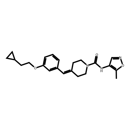 Cc1oncc1NC(=O)N1CCC(=Cc2cccc(OCCC3CC3)c2)CC1